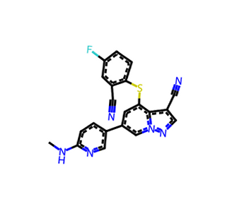 CNc1ccc(-c2cc(Sc3ccc(F)cc3C#N)c3c(C#N)cnn3c2)cn1